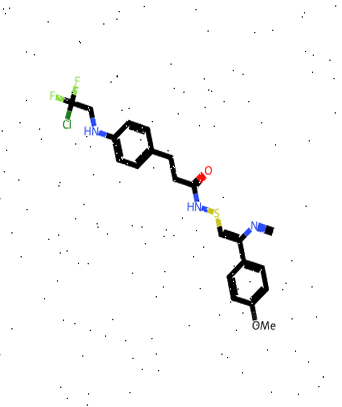 C=N/C(=C\SNC(=O)CCc1ccc(NCC(F)(F)Cl)cc1)c1ccc(OC)cc1